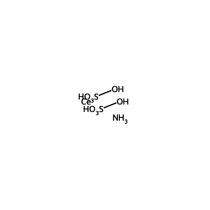 N.O=S(=O)(O)O.O=S(=O)(O)O.[Ce]